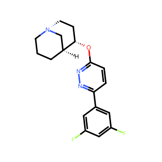 Fc1cc(F)cc(-c2ccc(O[C@H]3CC[N@@]4CCC[C@H]3C4)nn2)c1